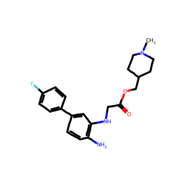 CN1CCC(COC(=O)CNc2cc(-c3ccc(F)cc3)ccc2N)CC1